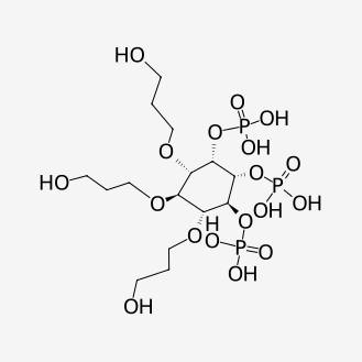 O=P(O)(O)O[C@@H]1[C@@H](OP(=O)(O)O)[C@H](OCCCO)[C@@H](OCCCO)[C@H](OCCCO)[C@@H]1OP(=O)(O)O